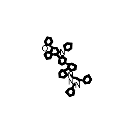 c1ccc(-c2cc(-n3c4ccccc4c4c(-c5ccc6c7c8cccc9c8c(cc7n(-c7ccccc7)c6c5)-c5ccccc5O9)cccc43)nc(-c3ccccc3)n2)cc1